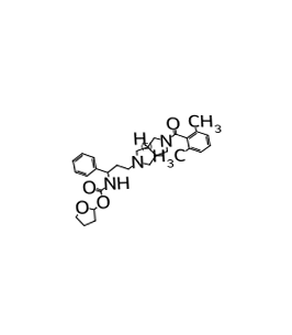 Cc1cccc(C)c1C(=O)N1CC2CN(CCC(NC(=O)OC3CCCO3)c3ccccc3)C[C@H]2C1